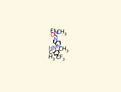 CCN(C)C(=O)Cn1ccc2c(Nc3c(C)cc(C(F)(F)F)cc3C)nccc21